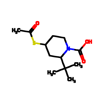 CC(=O)SC1CCN(C(=O)O)C(C(C)(C)C)C1